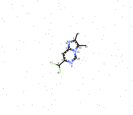 Cc1nc2cc(C(F)F)ncn2c1C